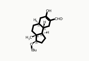 CC(C)(C)O[C@@H]1CC[C@@H]2[C@H]3CC([C]=O)=C(O)C[C@@H]3CC[C@]21C